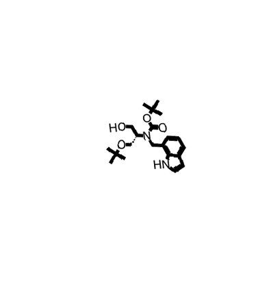 CC(C)(C)OC[C@H](CO)N(Cc1cccc2cc[nH]c12)C(=O)OC(C)(C)C